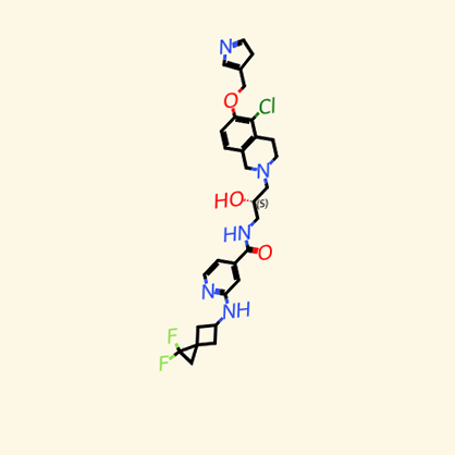 O=C(NC[C@H](O)CN1CCc2c(ccc(OCC3=CN=CC3)c2Cl)C1)c1ccnc(NC2CC3(C2)CC3(F)F)c1